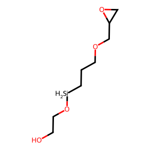 OCCO[SiH2]CCCOCC1CO1